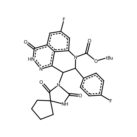 CC(C)(C)OC(=O)N1c2cc(F)cc3c(=O)[nH]nc(c23)C(N2C(=O)NC3(CCCC3)C2=O)C1c1ccc(F)cc1